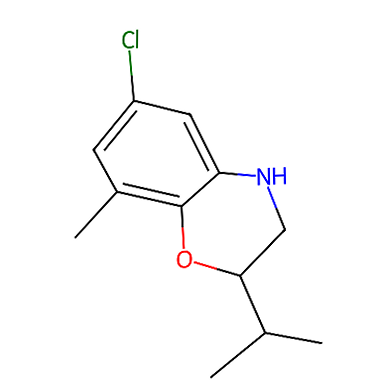 Cc1cc(Cl)cc2c1OC(C(C)C)CN2